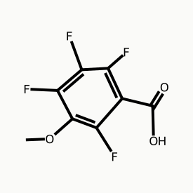 COc1c(F)c(F)c(F)c(C(=O)O)c1F